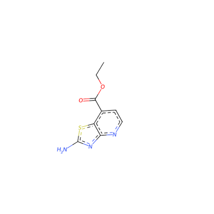 CCOC(=O)c1ccnc2nc(N)sc12